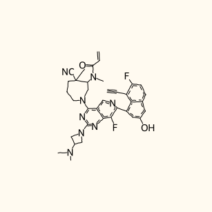 C#Cc1c(F)ccc2cc(O)cc(-c3ncc4c(N5CCCC(C)(C#N)C(N(C)C(=O)C=C)C5)nc(N5CC(N(C)C)C5)nc4c3F)c12